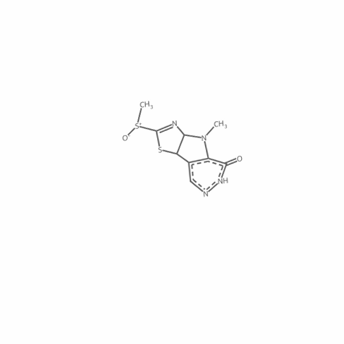 CN1c2c(cn[nH]c2=O)C2SC([S+](C)[O-])=NC21